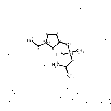 CC(C)C[Si](C)(C)OC1CC[C@H](CO)C1